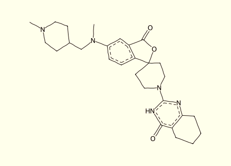 CN1CCC(CN(C)c2ccc3c(c2)C(=O)OC32CCN(c3nc4c(c(=O)[nH]3)CCCC4)CC2)CC1